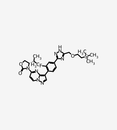 CC(C)[C@H]1COC(=O)N1c1ccn2ncc(-c3ccc(-c4n[nH]c(COCC[Si](C)(C)C)n4)cc3F)c2n1